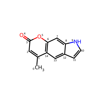 Cc1cc(=O)oc2cc3[nH]ccc3cc12